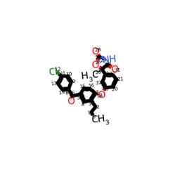 CCCc1cc(C(=O)c2ccc(Cl)cc2)ccc1Oc1cccc([C@@]2(C)OC(=O)NC2=O)c1